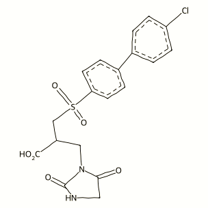 O=C(O)C(CN1C(=O)CNC1=O)CS(=O)(=O)c1ccc(-c2ccc(Cl)cc2)cc1